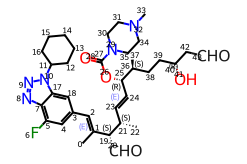 C/C(=C\c1cc(F)c2nnn(C3CCCCC3)c2c1)[C@@H](C=O)[C@@H](C)/C=C/[C@H](OC(=O)N1CCN(C)CC1)[C@@H](C)CC[C@@H](O)CC=O